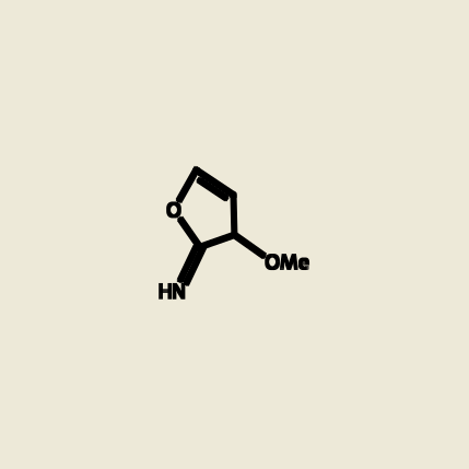 COC1C=COC1=N